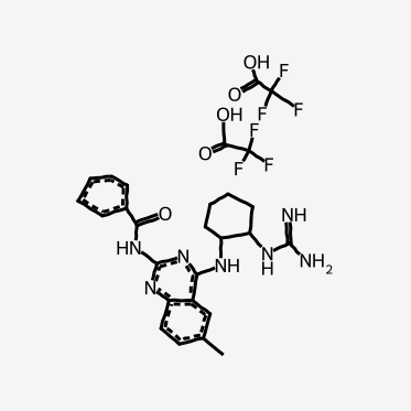 Cc1ccc2nc(NC(=O)c3ccccc3)nc(NC3CCCCC3NC(=N)N)c2c1.O=C(O)C(F)(F)F.O=C(O)C(F)(F)F